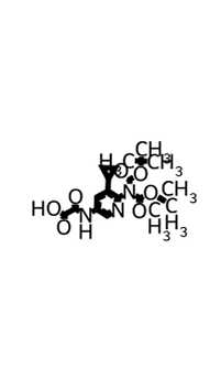 CC(C)(C)OC(=O)N(C(=O)OC(C)(C)C)c1ncc(NC(=O)C(=O)O)cc1C1CC1